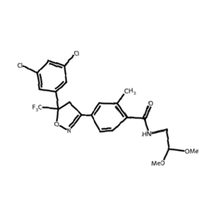 COC(CNC(=O)c1ccc(C2=NOC(c3cc(Cl)cc(Cl)c3)(C(F)(F)F)C2)cc1C)OC